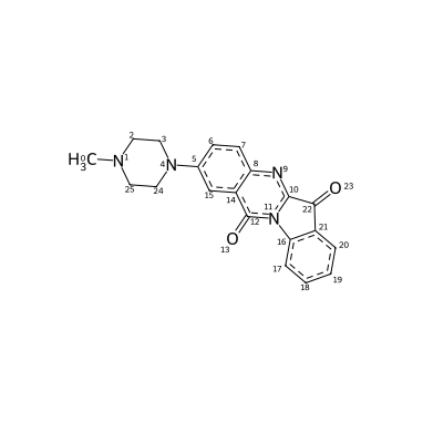 CN1CCN(c2ccc3nc4n(c(=O)c3c2)-c2ccccc2C4=O)CC1